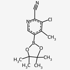 Cc1c(B2OC(C)(C)C(C)(C)O2)cnc(C#N)c1Cl